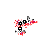 C=C(C)P(=O)(O)O.C=CCP(=O)(O)O.C=CP(=O)(O)O.O=P(O)(O)c1cccc(-c2ccccc2)c1P(=O)(O)O.O=P(O)(O)c1ccccc1